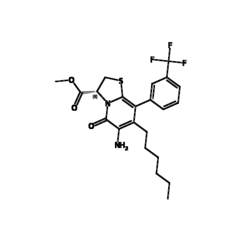 CCCCCCc1c(-c2cccc(C(F)(F)F)c2)c2n(c(=O)c1N)[C@H](C(=O)OC)CS2